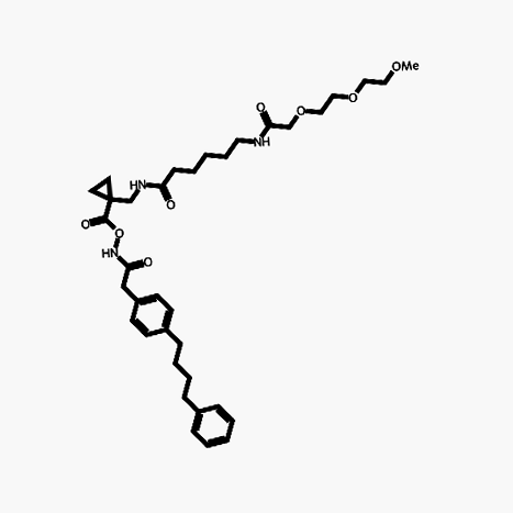 COCCOCCOCC(=O)NCCCCCC(=O)NCC1(C(=O)ONC(=O)Cc2ccc(CCCCc3ccccc3)cc2)CC1